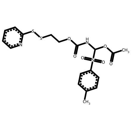 CC(=O)OC(NC(=O)OCCSSc1ccccn1)S(=O)(=O)c1ccc(C)cc1